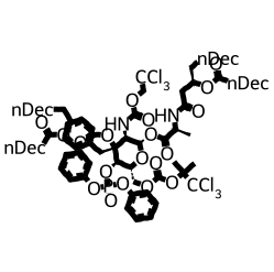 CCCCCCCCCCC[C@H](CC(=O)N[C@@H](C)C(=O)O[C@@H]1O[C@H](COC(=O)OC(C)(C)C(Cl)(Cl)Cl)[C@@H](OP(=O)(Oc2ccccc2)Oc2ccccc2)[C@](Cc2ccccc2)(OC(=O)C[C@@H](CCCCCCCCCCC)OC(=O)CCCCCCCCCC)[C@H]1NC(=O)OCC(Cl)(Cl)Cl)OC(=O)CCCCCCCCCC